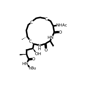 CCCCNC(=O)[C@@H](C)C[C@H](O)[C@@H]1C[C@H](C)CCCCCCCC(NC(C)=O)C(=O)NC(C)C(=O)N1